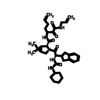 C=CCCC(NC(=O)[C@@H]1C2C(CN1C(=O)[C@@H](NC(=O)NC1CCCCC1)C1Cc3ccccc3C1)C2(C)C)C(=O)C(=O)NCC=C